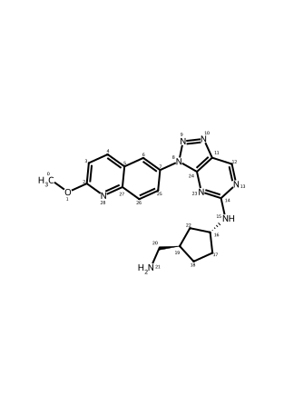 COc1ccc2cc(-n3nnc4cnc(N[C@@H]5CC[C@@H](CN)C5)nc43)ccc2n1